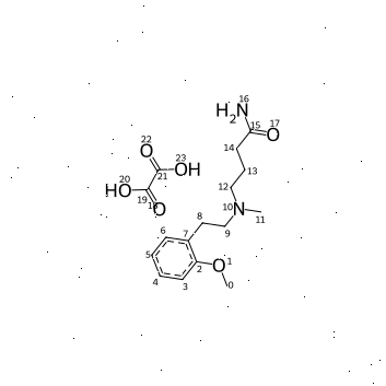 COc1ccccc1CCN(C)CCCC(N)=O.O=C(O)C(=O)O